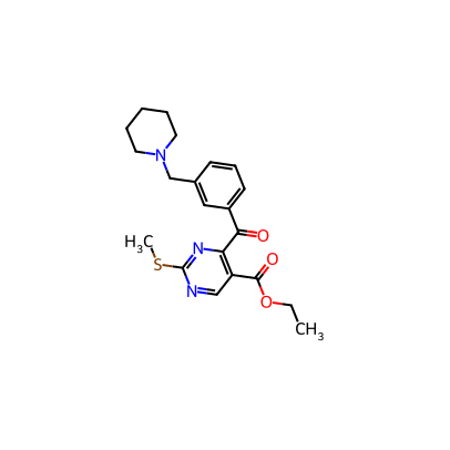 CCOC(=O)c1cnc(SC)nc1C(=O)c1cccc(CN2CCCCC2)c1